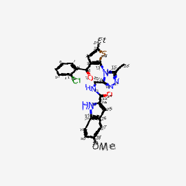 CCc1cc(C(=O)c2ccccc2Cl)c(-n2c(C)nnc2CNC(=O)c2cc3cc(OC)ccc3[nH]2)s1